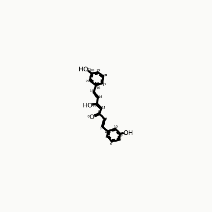 O=C(C=Cc1cccc(O)c1)C=C(O)C=Cc1cccc(O)c1